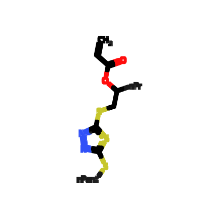 C=CC(=O)OC(CCC)CSc1nnc(SCCCCC)s1